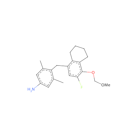 COCOc1c(F)cc(Cc2c(C)cc(N)cc2C)c2c1CCCC2